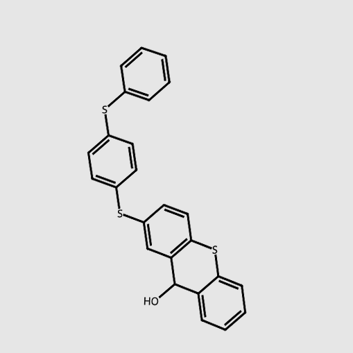 OC1c2ccccc2Sc2ccc(Sc3ccc(Sc4ccccc4)cc3)cc21